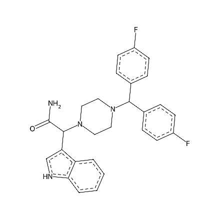 NC(=O)C(c1c[nH]c2ccccc12)N1CCN(C(c2ccc(F)cc2)c2ccc(F)cc2)CC1